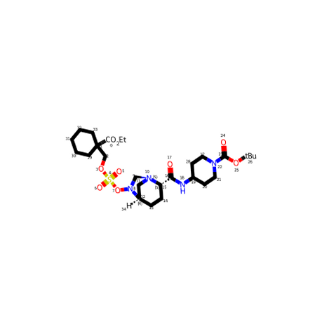 CCOC(=O)C1(COS(=O)(=O)ON2C[N@]3C[C@H]2CC[C@H]3C(=O)NC2CCN(C(=O)OC(C)(C)C)CC2)CCCCC1